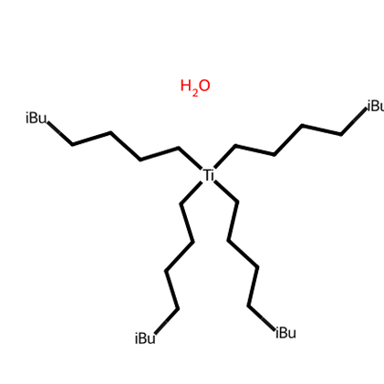 CCC(C)CCC[CH2][Ti]([CH2]CCCC(C)CC)([CH2]CCCC(C)CC)[CH2]CCCC(C)CC.O